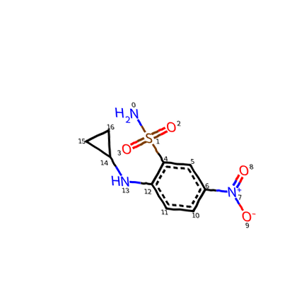 NS(=O)(=O)c1cc([N+](=O)[O-])ccc1NC1CC1